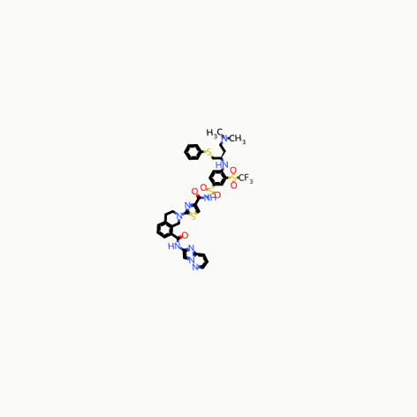 CN(C)CC[C@H](CSc1ccccc1)Nc1ccc(S(=O)(=O)NC(=O)c2csc(N3CCc4cccc(C(=O)Nc5cn6ncccc6n5)c4C3)n2)cc1S(=O)(=O)C(F)(F)F